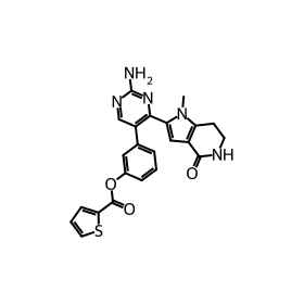 Cn1c(-c2nc(N)ncc2-c2cccc(OC(=O)c3cccs3)c2)cc2c1CCNC2=O